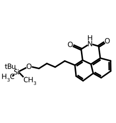 CC(C)(C)[Si](C)(C)OCCCCc1ccc2cccc3c2c1C(=O)NC3=O